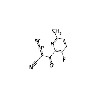 Cc1ccc(F)c(C(=O)C(C#N)=[N+]=[N-])n1